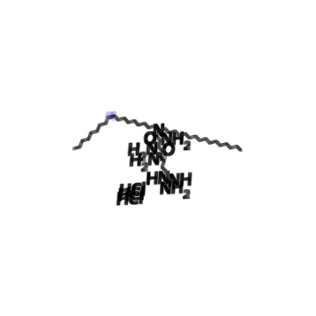 CCCCCCCC/C=C\CCCCCCCCN(CCCCCCCCCCCCCCCC)C(=O)C(N)C(N)C(=O)[C@@H](N)CCCNC(=N)N.Cl.Cl.Cl